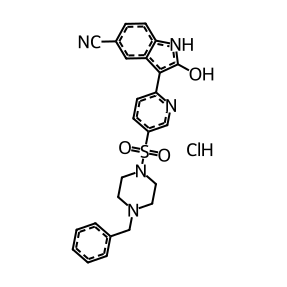 Cl.N#Cc1ccc2[nH]c(O)c(-c3ccc(S(=O)(=O)N4CCN(Cc5ccccc5)CC4)cn3)c2c1